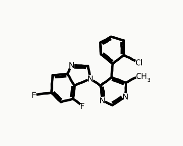 Cc1ncnc(-n2cnc3cc(F)cc(F)c32)c1-c1ccccc1Cl